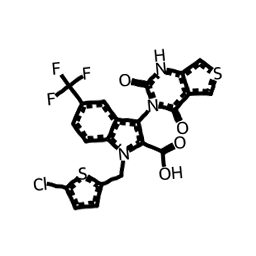 O=C(O)c1c(-n2c(=O)[nH]c3cscc3c2=O)c2cc(C(F)(F)F)ccc2n1Cc1ccc(Cl)s1